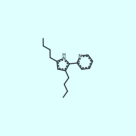 CCCCc1cc(CCCC)c(-c2ccccn2)[nH]1